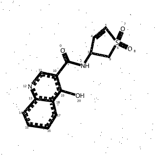 O=C(NC1C=CS(=O)(=O)C1)c1cnc2ccccc2c1O